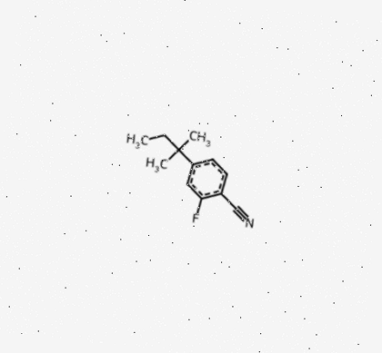 CCC(C)(C)c1ccc(C#N)c(F)c1